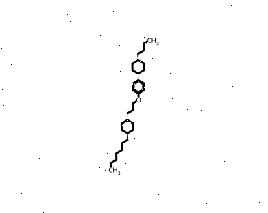 CCCCCCC[C@H]1CC[C@H](CCCOc2ccc([C@H]3CC[C@H](CCCC)CC3)cc2)CC1